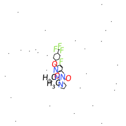 COc1nc(OC2CCC(C(F)(F)F)CC2)c(F)cc1CNC(=O)[C@@H]1CCCN1C